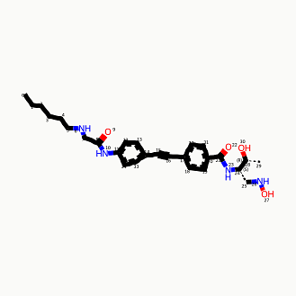 CCCCCCNCC(=O)Nc1ccc(C#Cc2ccc(C(=O)N[C@@H](CNO)[C@@H](C)O)cc2)cc1